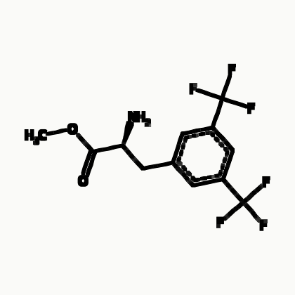 COC(=O)[C@@H](N)Cc1cc(C(F)(F)F)cc(C(F)(F)F)c1